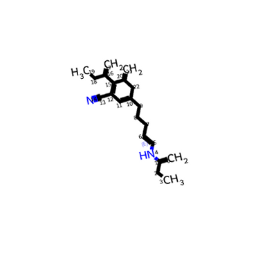 C=C(CC)N/C=C/CCCC1=CC(C#N)=C(C(=C)CC)C(=C)C1